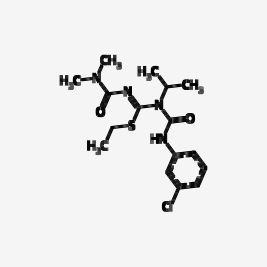 CCSC(=NC(=O)N(C)C)N(C(=O)Nc1cccc(Cl)c1)C(C)C